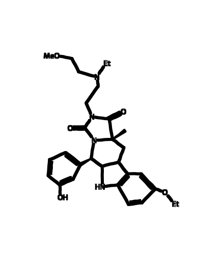 CCOc1ccc2c(c1)C1C[C@@]3(C)C(=O)N(CCN(CC)CCOC)C(=O)N3[C@H](c3cccc(O)c3)C1N2